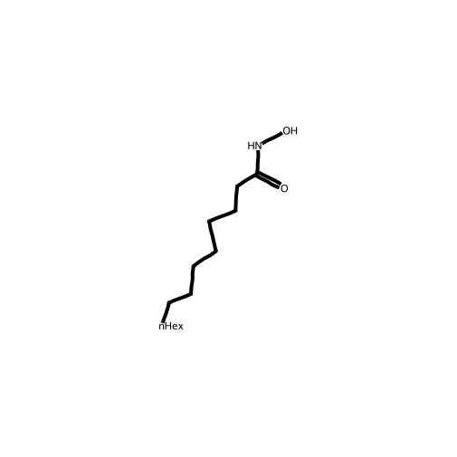 CCCCCCCCCCCCCC(=O)NO